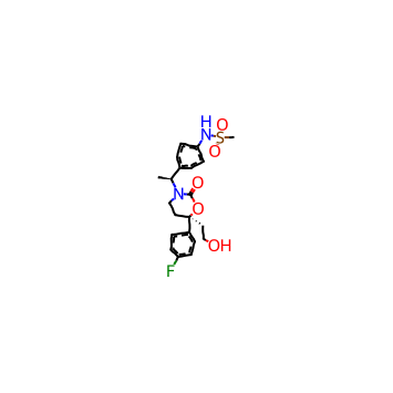 C[C@@H](c1ccc(NS(C)(=O)=O)cc1)N1CC[C@](CCO)(c2ccc(F)cc2)OC1=O